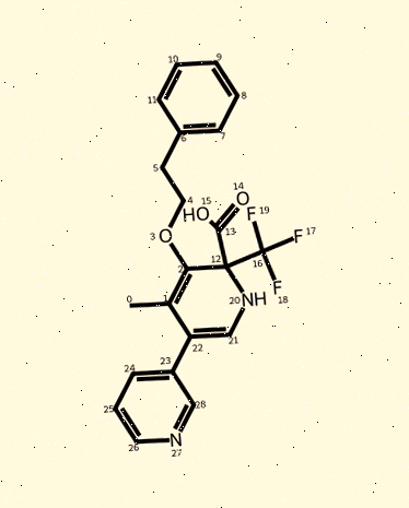 CC1=C(OCCc2ccccc2)C(C(=O)O)(C(F)(F)F)NC=C1c1cccnc1